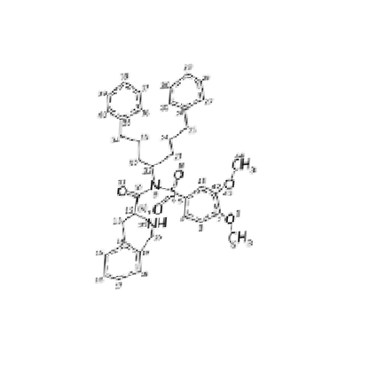 COc1ccc(S(=O)(=O)N(C(=O)[C@@H]2Cc3ccccc3CN2)C(CCCc2ccccc2)CCCc2ccccc2)cc1OC